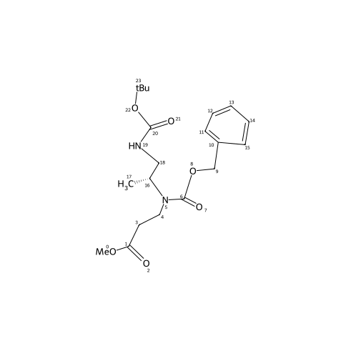 COC(=O)CCN(C(=O)OCc1ccccc1)[C@H](C)CNC(=O)OC(C)(C)C